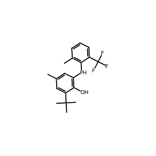 Cc1cc(Pc2c(C)cccc2C(F)(F)F)c(O)c(C(C)(C)C)c1